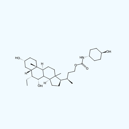 CC[C@H]1[C@@H](O)C2[C@@H]3CC[C@H]([C@H](C)CCOC(=O)N[C@H]4CC[C@H](O)CC4)C3(C)CC[C@@H]2[C@@]2(C)CC[C@@H](O)C[C@@H]12